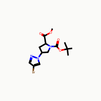 COC(=O)C1CC(n2cc(Br)cn2)CN1C(=O)OC(C)(C)C